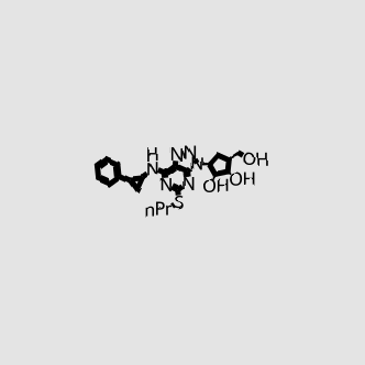 CCCSc1nc(NC2CC2c2ccccc2)c2nnn([C@H]3C[C@@H](CO)[C@H](O)[C@@H]3O)c2n1